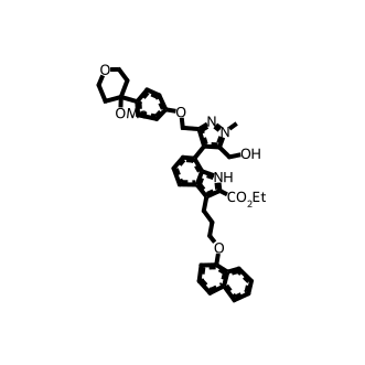 CCOC(=O)c1[nH]c2c(-c3c(COc4ccc(C5(OC)CCOCC5)cc4)nn(C)c3CO)cccc2c1CCCOc1cccc2ccccc12